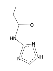 CCC(=O)Nc1nc[nH]n1